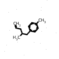 C=CCC(C)Cc1ccc(C)cc1